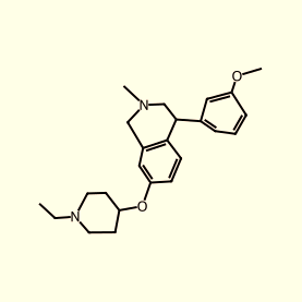 CCN1CCC(Oc2ccc3c(c2)CN(C)CC3c2cccc(OC)c2)CC1